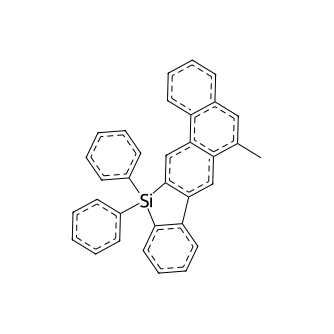 Cc1cc2ccccc2c2cc3c(cc12)-c1ccccc1[Si]3(c1ccccc1)c1ccccc1